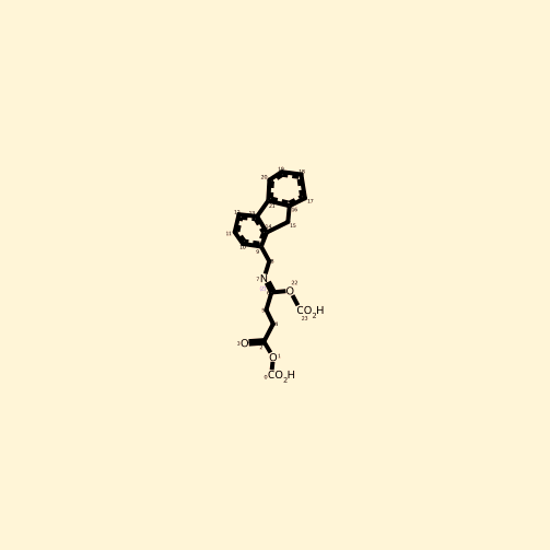 O=C(O)OC(=O)CC/C(=N/Cc1cccc2c1Cc1ccccc1-2)OC(=O)O